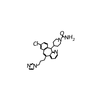 NC(=O)N1CCC(C2c3ccc(Cl)cc3C=C(CCCn3ccnc3)c3cccnc32)CC1